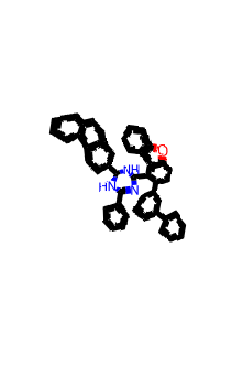 c1ccc(C2=NC(c3c(-c4cccc(-c5ccccc5)c4)ccc4oc5ccccc5c34)NC(c3ccc4c(ccc5ccccc54)c3)N2)cc1